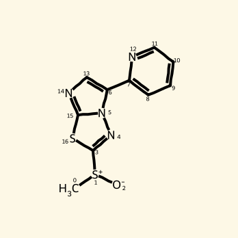 C[S+]([O-])c1nn2c(-c3ccccn3)cnc2s1